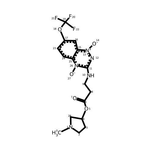 CN1CCC(OC(=O)CCNc2n[n+]([O-])c3cc(OC(F)(F)F)ccc3[n+]2[O-])C1